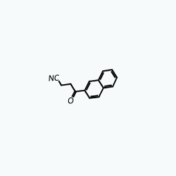 N#CCCC(=O)c1ccc2ccccc2c1